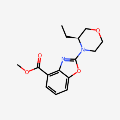 CC[C@H]1COCCN1c1nc2c(C(=O)OC)cccc2o1